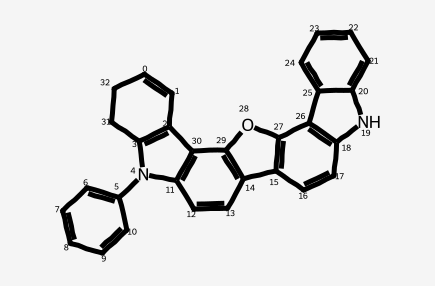 C1=Cc2c(n(-c3ccccc3)c3ccc4c5ccc6[nH]c7ccccc7c6c5oc4c23)CC1